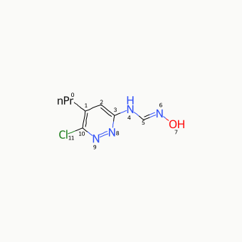 CCCc1cc(NC=NO)nnc1Cl